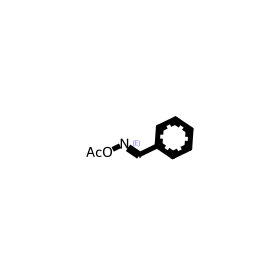 CC(=O)O/N=[C]/c1ccccc1